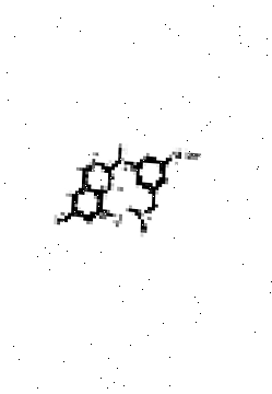 CC(=O)Nc1cc(CN(C)C)cc(Nc2ncc3cc(Br)cc(Cl)c3n2)c1